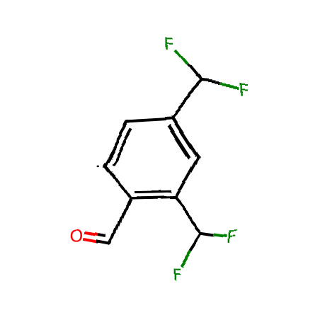 O=Cc1[c]cc(C(F)F)cc1C(F)F